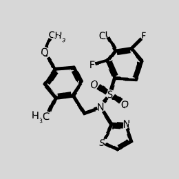 COc1ccc(CN(c2nccs2)S(=O)(=O)c2ccc(F)c(Cl)c2F)c(C)c1